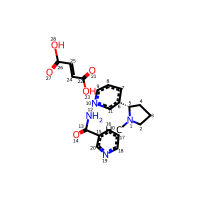 CN1CCC[C@H]1c1cccnc1.NC(=O)c1cccnc1.O=C(O)/C=C/C(=O)O